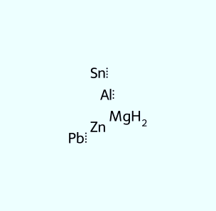 [Al].[MgH2].[Pb].[Sn].[Zn]